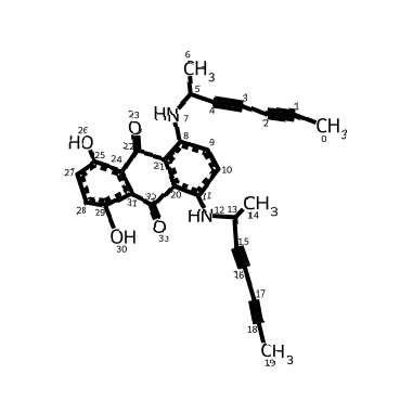 CC#CC#CC(C)Nc1ccc(NC(C)C#CC#CC)c2c1C(=O)c1c(O)ccc(O)c1C2=O